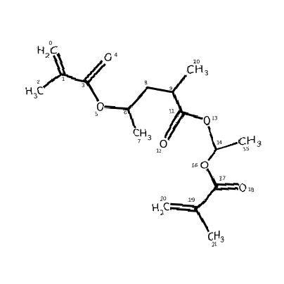 C=C(C)C(=O)OC(C)CC(C)C(=O)OC(C)OC(=O)C(=C)C